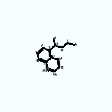 CCCC(C)c1cccc2ncccc12